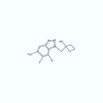 Cc1cc2nnn(CC3(O)CCC3)c2c(Cl)c1F